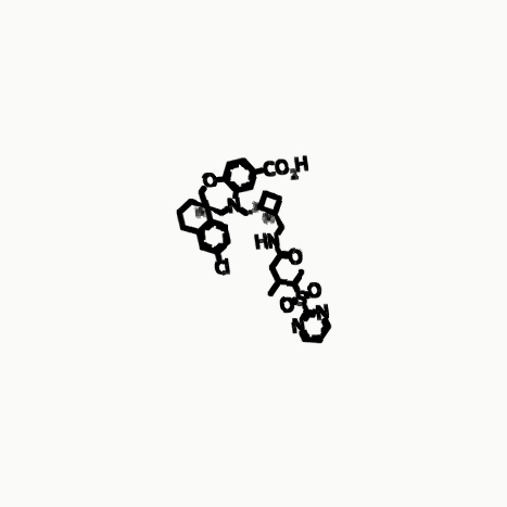 CC(CC(=O)NC[C@@H]1CC[C@H]1CN1C[C@@]2(CCCc3cc(Cl)ccc32)COc2ccc(C(=O)O)cc21)C(C)S(=O)(=O)c1ncccn1